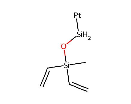 C=C[Si](C)(C=C)O[SiH2][Pt]